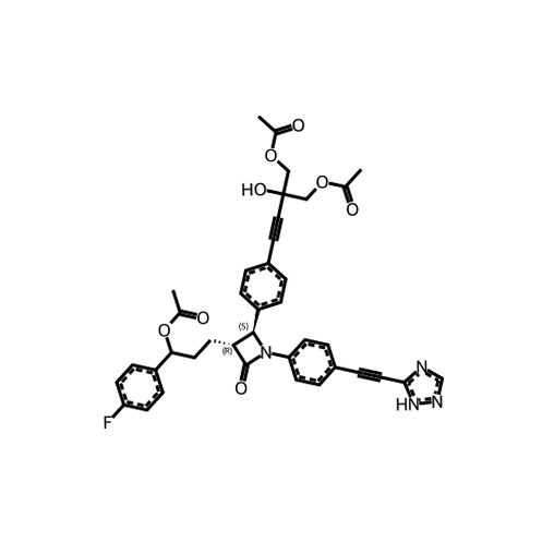 CC(=O)OCC(O)(C#Cc1ccc([C@@H]2[C@@H](CCC(OC(C)=O)c3ccc(F)cc3)C(=O)N2c2ccc(C#Cc3ncn[nH]3)cc2)cc1)COC(C)=O